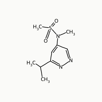 CC(C)c1cc(N(C)S(C)(=O)=O)cnn1